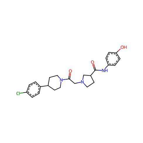 O=C(Nc1ccc(O)cc1)C1CCN(CC(=O)N2CCC(c3ccc(Cl)cc3)CC2)C1